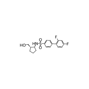 O=S(=O)(N[C@H]1CCC[C@H]1CO)c1ccc(-c2ccc(F)cc2F)cc1